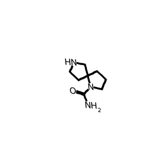 NC(=O)N1CCCC12CCNC2